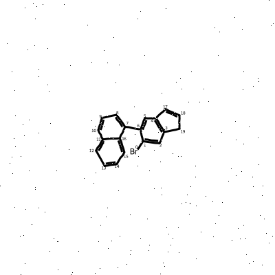 Brc1cc2c(cc1-c1cccc3ccccc13)C=CC2